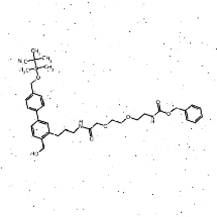 CC(C)(C)[Si](C)(C)OCc1ccc(-c2ccc(CO)c(CCCNC(=O)COCCOCCNC(=O)OCc3ccccc3)c2)cc1